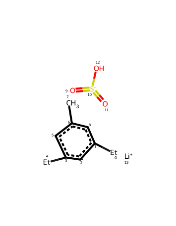 CCc1[c]c(CC)cc(C)c1.O=[S-](=O)O.[Li+]